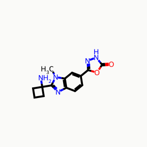 Cn1c(C2(N)CCC2)nc2ccc(-c3n[nH]c(=O)o3)cc21